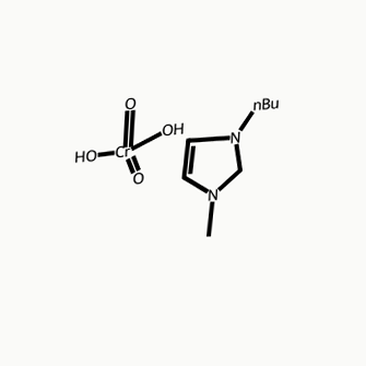 CCCCN1C=CN(C)C1.[O]=[Cr](=[O])([OH])[OH]